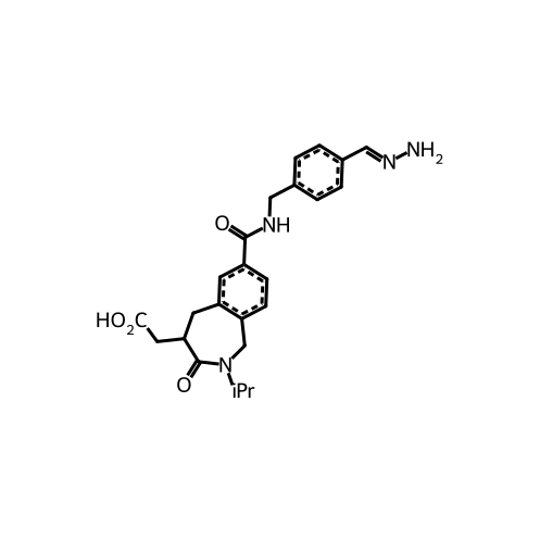 CC(C)N1Cc2ccc(C(=O)NCc3ccc(C=NN)cc3)cc2CC(CC(=O)O)C1=O